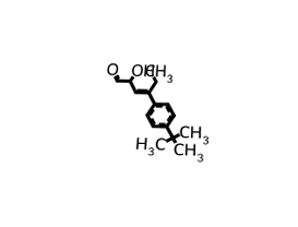 CCC(=CC(O)C=O)c1ccc(C(C)(C)C)cc1